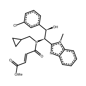 COC(=O)/C=C/C(=O)N(CC1CC1)[C@H](c1nc2ccccc2n1C)[C@H](O)c1cccc(Cl)c1